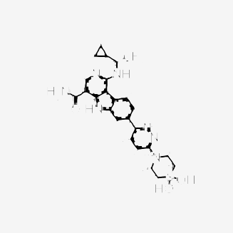 NC(=O)c1cnc(N[C@H](C2CC2)C(F)(F)F)c2c1[nH]c1cc(-c3ccc(N4CCS(O)(O)CC4)nn3)ccc12